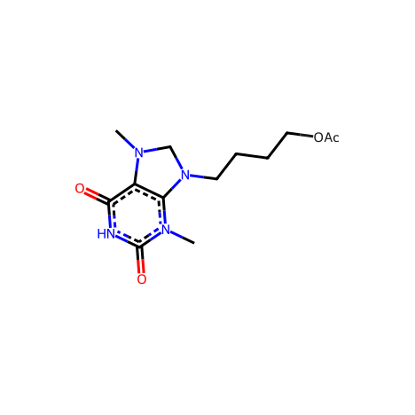 CC(=O)OCCCCN1CN(C)c2c1n(C)c(=O)[nH]c2=O